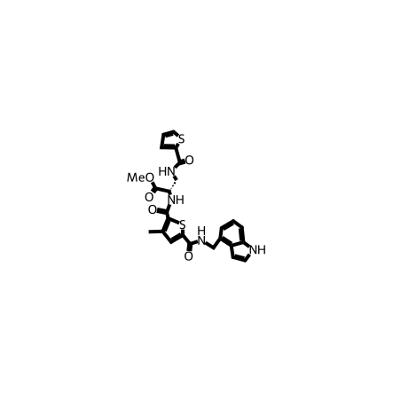 COC(=O)[C@H](CNC(=O)c1cccs1)NC(=O)c1sc(C(=O)NCc2cccc3[nH]ccc23)cc1C